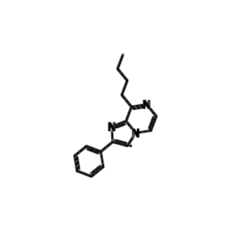 CCCCc1nccn2[c]c(-c3ccccc3)nc12